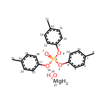 Cc1ccc(OP(=O)(Oc2ccc(C)cc2)Oc2ccc(C)cc2)cc1.O.[MgH2]